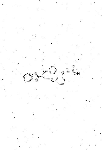 CC(C)(Oc1cccc(CNCC(Oc2ccccc2)c2nc3ccccc3o2)c1)C(=O)O